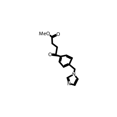 COC(=O)CCC(=O)c1ccc(Cn2ccnc2)cc1